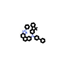 CC1(C)c2ccccc2-c2ccc(N(c3ccc(-c4ccccc4)cc3)c3ccc4ccc5ccc6nn(-c7ccccc7)nc6c5c4c3)cc21